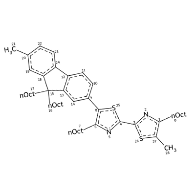 CCCCCCCCc1nc(-c2nc(CCCCCCCC)c(-c3ccc4c(c3)C(CCCCCCCC)(CCCCCCCC)c3cc(C)ccc3-4)s2)sc1C